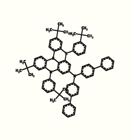 CC(C)(C)c1cccc(N2c3cc(C(C)(C)C)ccc3B3c4ccc(C(C)(C)C)cc4N(c4cccc(C(C)(C)C)c4)c4cc(N(c5ccc(-c6ccccc6)cc5)c5ccc(-c6ccccc6)cc5)cc2c43)c1